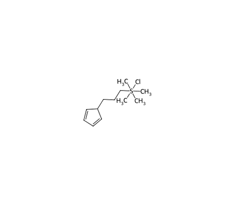 CS(C)(C)(C)(Cl)CCCC1C=CC=C1